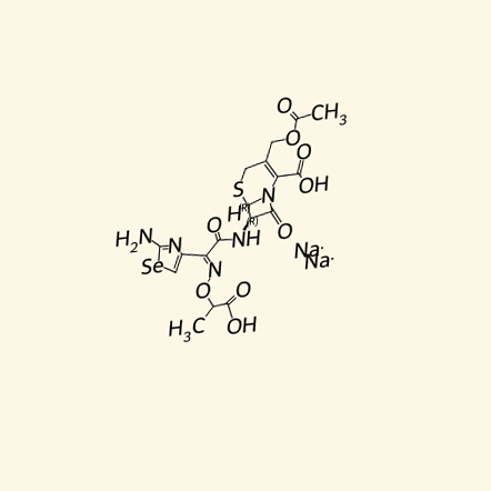 CC(=O)OCC1=C(C(=O)O)N2C(=O)[C@@H](NC(=O)C(=NOC(C)C(=O)O)c3c[se]c(N)n3)[C@H]2SC1.[Na].[Na]